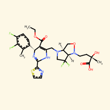 CCOC(=O)C1=C(CN2CC(F)(F)[C@H]3[C@@H]2CON3CC[C@](C)(O)C(=O)O)NC(c2nccs2)=N[C@@H]1c1ccc(F)c(F)c1C